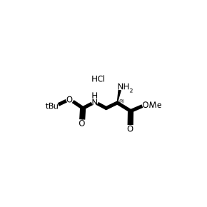 COC(=O)[C@H](N)CNC(=O)OC(C)(C)C.Cl